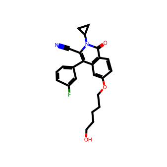 N#Cc1c(-c2cccc(F)c2)c2cc(OCCCCCO)ccc2c(=O)n1C1CC1